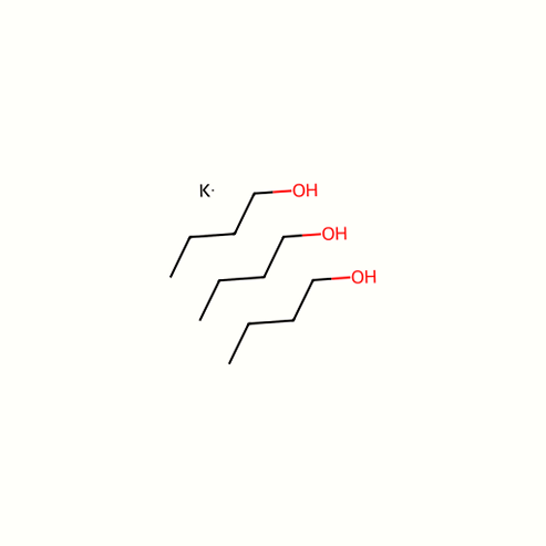 CCCCO.CCCCO.CCCCO.[K]